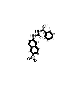 C[C@@H](NC(=O)Nc1ccc2cc([N+](=O)[O-])ccc2c1)c1ccccc1